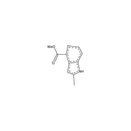 COC(=O)c1cccc2[nH]c(C)cc12